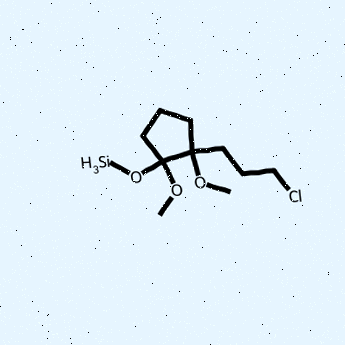 COC1(CCCCl)CCCC1(OC)O[SiH3]